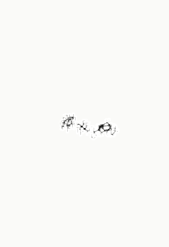 O=C(OCC(F)(F)C(F)(F)COC(=O)C(F)(F)S(=O)(=O)O)C12CC3CC(C1)C1(OCCO1)C(C3)C2